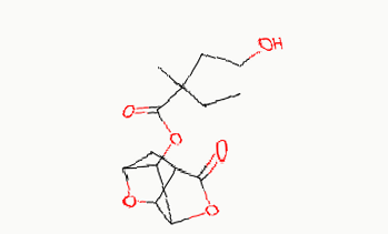 CCC(C)(CCO)C(=O)OC1C2CC3C(=O)OC1C3O2